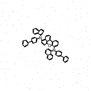 c1ccc(-c2ccc(N(c3cccc4c3Oc3ccc(N(c5ccc(-c6ccccc6)cc5)c5cccc6ccccc56)c5cccc-4c35)c3cccc4ccccc34)cc2)cc1